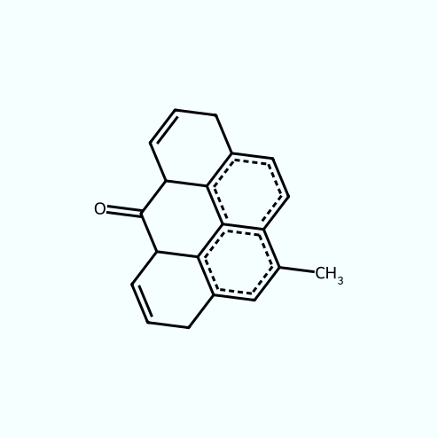 Cc1cc2c3c4c5c(ccc14)CC=CC5C(=O)C3C=CC2